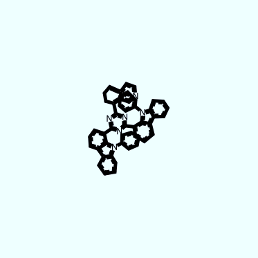 C1=c2ccncc2=C(c2nc(-c3cccc4c5ccccc5n(-c5ccccc5)c34)nc(-c3cccc4c5ccccc5n(-c5ccccc5)c34)n2)CC1